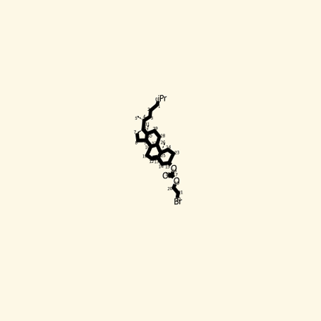 CC(C)CCC[C@@H](C)[C@H]1CCC2C3CC=C4CC(OC(=O)OCCBr)CC[C@]4(C)C3CC[C@@]21C